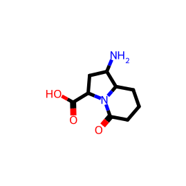 NC1CC(C(=O)O)N2C(=O)CCCC12